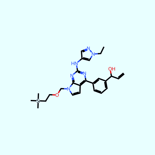 C=CC(O)c1cccc(-c2nc(Nc3cnn(CC)c3)nc3c2ccn3COCC[Si](C)(C)C)c1